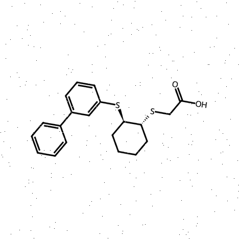 O=C(O)CS[C@@H]1CCCC[C@H]1Sc1cccc(-c2ccccc2)c1